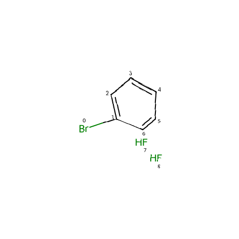 Brc1ccccc1.F.F